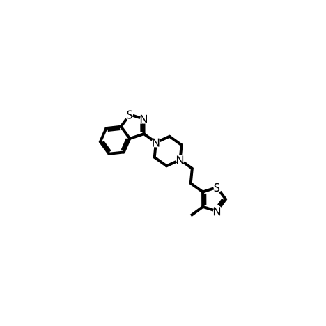 Cc1ncsc1CCN1CCN(c2nsc3ccccc23)CC1